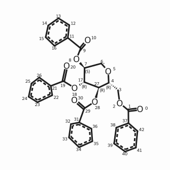 O=C(OC[C@H]1O[CH][C@H](OC(=O)c2ccccc2)[C@@H](OC(=O)c2ccccc2)[C@@H]1OC(=O)c1ccccc1)c1ccccc1